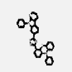 c1ccc(N2c3ccccc3Oc3c(-c4nsc(-c5ccc6c7cccnc7n(-c7ccccc7)c6c5)n4)cccc32)cc1